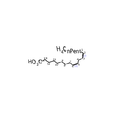 C.CCCCC/C=C\C/C=C\CCCCCCCC(=O)O